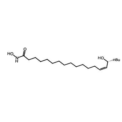 CCCC[C@@H](O)/C=C\CCCCCCCCCCCCC(=O)NO